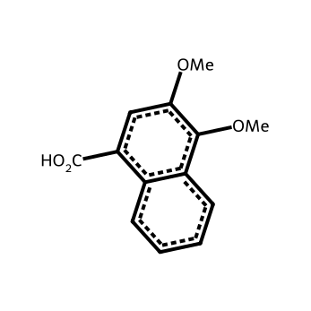 COc1cc(C(=O)O)c2ccccc2c1OC